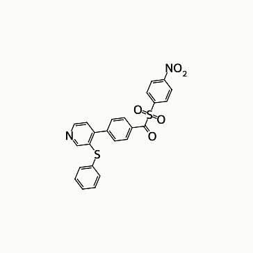 O=C(c1ccc(-c2ccncc2Sc2ccccc2)cc1)S(=O)(=O)c1ccc([N+](=O)[O-])cc1